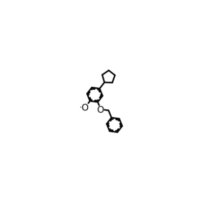 [O]c1ccc(C2CCCC2)cc1OCc1ccccc1